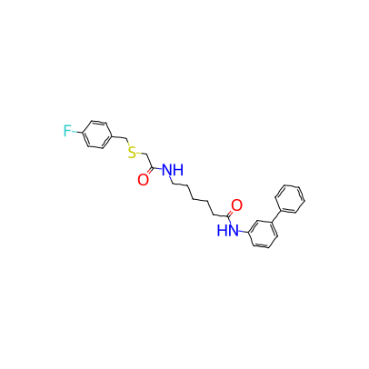 O=C(CSCc1ccc(F)cc1)NCCCCCC(=O)Nc1cccc(-c2ccccc2)c1